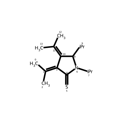 CC(C)=C1C(=S)N(C(C)C)C(C(C)C)C1=C(C)C